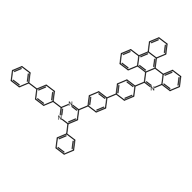 c1ccc(-c2ccc(-c3nc(-c4ccccc4)cc(-c4ccc(-c5ccc(-c6nc7ccccc7c7c8ccccc8c8ccccc8c67)cc5)cc4)n3)cc2)cc1